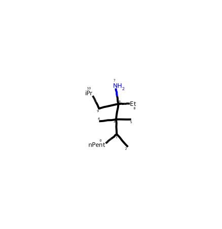 CCCCCC(C)C(C)(C)C(N)(CC)CC(C)C